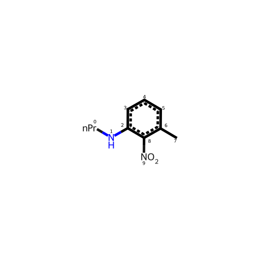 CCCNc1cccc(C)c1[N+](=O)[O-]